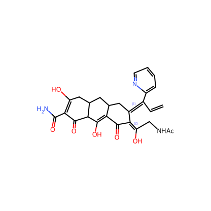 C=C/C(=C1/CC2CC3CC(O)=C(C(N)=O)C(=O)C3C(O)=C2C(=O)/C1=C(\O)CNC(C)=O)c1ccccn1